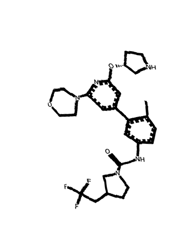 Cc1ccc(NC(=O)N2CCC(CC(F)(F)F)C2)cc1-c1cc(O[C@@H]2CCNC2)nc(N2CCOCC2)c1